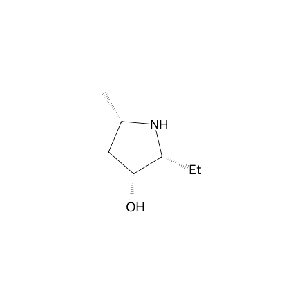 CC[C@H]1N[C@@H](C)C[C@H]1O